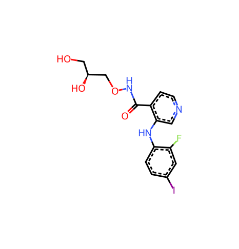 O=C(NOC[C@@H](O)CO)c1ccncc1Nc1ccc(I)cc1F